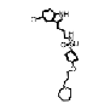 O=S(=O)(NCCCc1c[nH]c2ccc(Cl)cc12)c1ccc(OCCCN2CCCCCC2)cc1